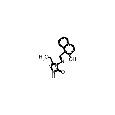 CCc1n[nH]c(=O)n1/N=C/c1c(O)ccc2ccccc12